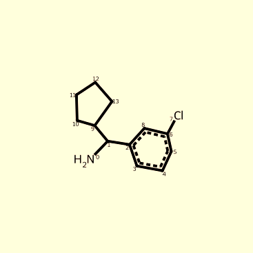 NC(c1cccc(Cl)c1)C1CCCC1